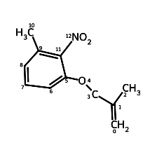 C=C(C)COc1cccc(C)c1[N+](=O)[O-]